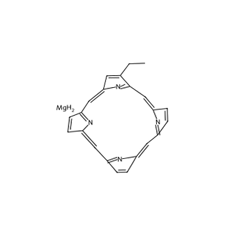 CCC1=CC2=CC3=NC(=CC4=NC(=CC5=NC(=CC1=N2)C=C5)C=C4)C=C3.[MgH2]